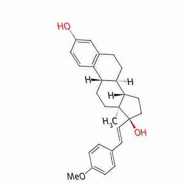 COc1ccc(C=C[C@@]2(O)CC[C@H]3[C@@H]4CCc5cc(O)ccc5[C@H]4CC[C@@]32C)cc1